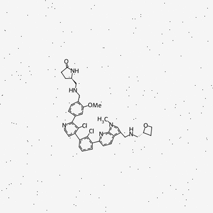 COc1cc(-c2nccc(-c3cccc(-c4ccc5c(CNC[C@H]6CCO6)cn(C)c5n4)c3Cl)c2Cl)ccc1CNC[C@H]1CCC(=O)N1